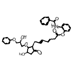 O=C(CCCC=CCC1C(=O)CC(O)C1OCC(O)COc1ccccc1)Oc1ccccc1NC(=O)c1ccccc1